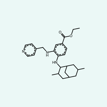 CCOC(=O)c1ccc(NC2C(C)CC3CC(C)CC2C3)c(NCc2ccncc2)c1